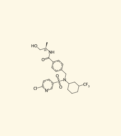 C[C@H](CO)NC(=O)c1ccc(CN(C2CCCC(C(F)(F)F)C2)S(=O)(=O)c2ccc(Cl)nc2)cc1